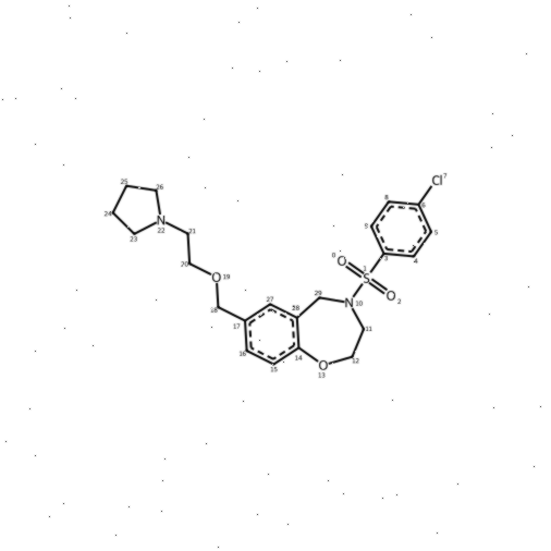 O=S(=O)(c1ccc(Cl)cc1)N1CCOc2ccc(COCCN3CCCC3)cc2C1